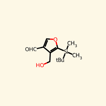 CC(C)(C)[Si](C)(C)c1occ(C=O)c1CO